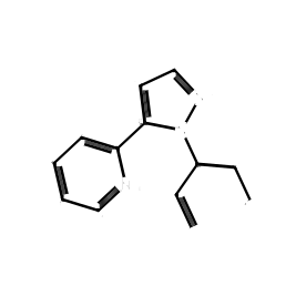 C=CC(CC)n1nccc1-c1ccccn1